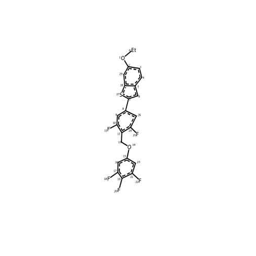 CCOc1ccc2cc(-c3cc(F)c(COc4cc(F)c(F)c(F)c4)c(F)c3)sc2c1